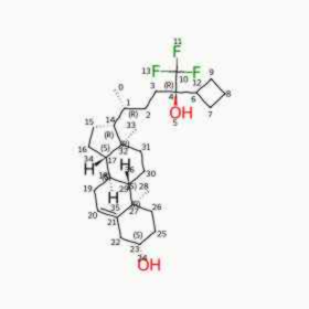 C[C@H](CC[C@@](O)(C1CCC1)C(F)(F)F)[C@H]1CC[C@H]2[C@@H]3CC=C4C[C@@H](O)CC[C@]4(C)[C@H]3CC[C@]12C